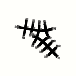 FC(F)(F)C(F)(F)C1(F)OC(F)(F)C(F)(C(F)(F)C(F)(F)F)C1(F)F